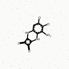 O=c1c2c(c1=O)Nc1c(cc(Cl)c(Cl)c1[N+](=O)[O-])N2